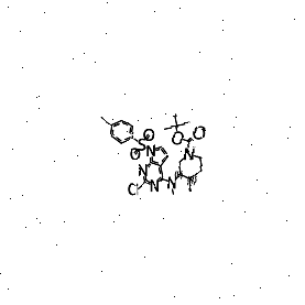 Cc1ccc(S(=O)(=O)n2ccc3c(N(C)[C@H]4CN(C(=O)OC(C)(C)C)CC[C@H]4C)nc(Cl)nc32)cc1